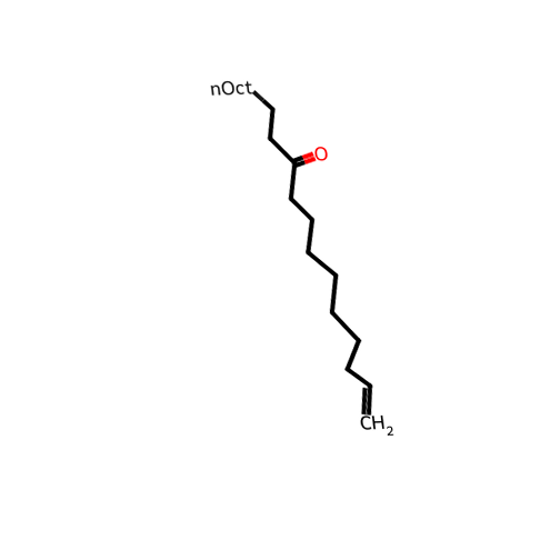 C=CCCCCCCCC(=O)CCCCCCCCCC